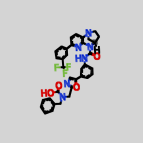 O=C(O)N(Cc1ccccc1)Cc1ncc(-c2cccc(NC(=O)N3c4nc(-c5cccc(C(F)(F)F)c5)ccc4N4CC[C@H]3C4)c2)o1